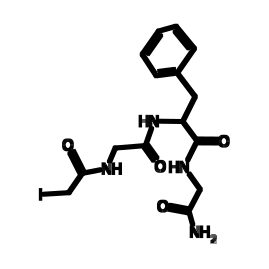 NC(=O)CNC(=O)C(Cc1ccccc1)NC(=O)CNC(=O)CI